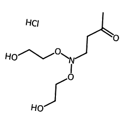 CC(=O)CCN(OCCO)OCCO.Cl